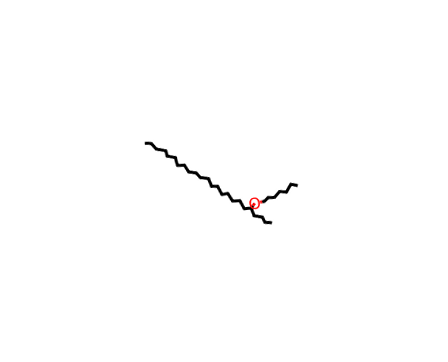 CCCCCCCCCCCCCCCCCCCC(CCCC)OCCCCCCC